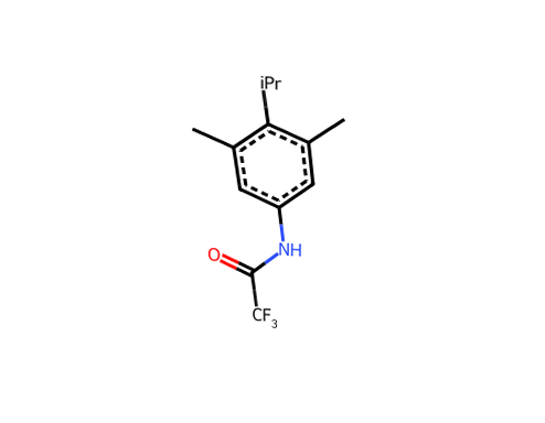 Cc1cc(NC(=O)C(F)(F)F)cc(C)c1C(C)C